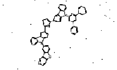 c1ccc(-c2cc(-c3ccccc3)nc(-n3c4ccccc4c4cc(-c5cccc(-c6ccc7c(c6)c6ccccc6n7-c6ccc7oc8ccncc8c7c6)n5)ccc43)c2)cc1